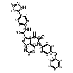 O=C(Nc1ccc(-c2nnn[nH]2)cc1)c1sc2ncnc3c2c1NC(=O)N3c1ccc(Oc2ccccc2)cc1